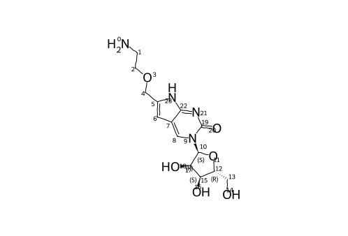 NCCOCc1cc2cn([C@H]3O[C@H](CO)[C@@H](O)[C@H]3O)c(=O)nc2[nH]1